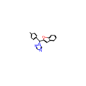 Cc1ccc(C(c2cc3ccccc3o2)n2cncn2)cc1